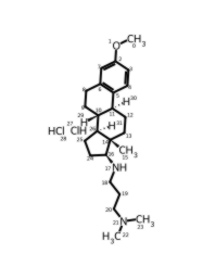 COc1ccc2c(c1)CC[C@@H]1[C@@H]2CC[C@]2(C)[C@@H](NCCCN(C)C)CC[C@@H]12.Cl.Cl